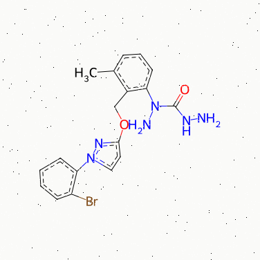 Cc1cccc(N(N)C(=O)NN)c1COc1ccn(-c2ccccc2Br)n1